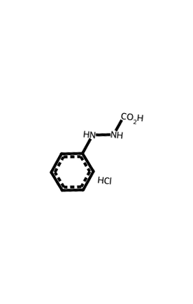 Cl.O=C(O)NNc1ccccc1